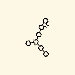 CS1(C)c2ccccc2-c2ccc(-c3ccc(-c4nc(-c5ccccc5)nc(-c5ccc(-c6ccccc6)cc5)n4)cc3)cc21